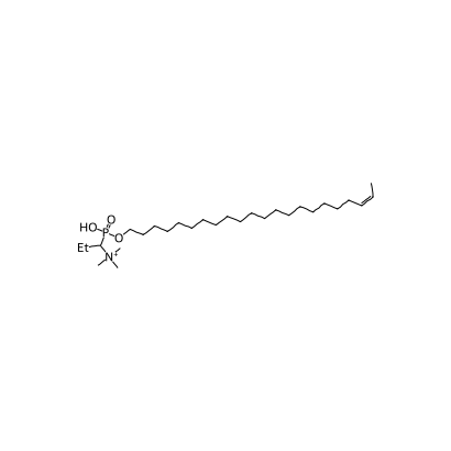 C/C=C\CCCCCCCCCCCCCCCCCCCOP(=O)(O)C(CC)[N+](C)(C)C